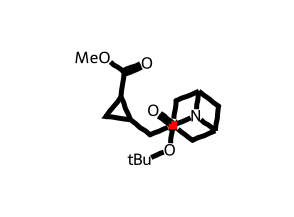 COC(=O)C1CC1CN1CC2CC(C1)N2C(=O)OC(C)(C)C